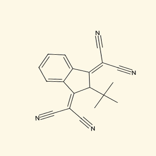 CC(C)(C)C1C(=C(C#N)C#N)c2ccccc2C1=C(C#N)C#N